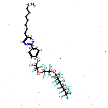 CCCCCCCCc1cnc(-c2ccc(OC(F)C(F)(F)OC(F)(F)C(F)(F)OC(F)(F)C(F)(F)C(F)(F)C(F)(F)C(F)(F)C(F)(F)F)cc2)nc1